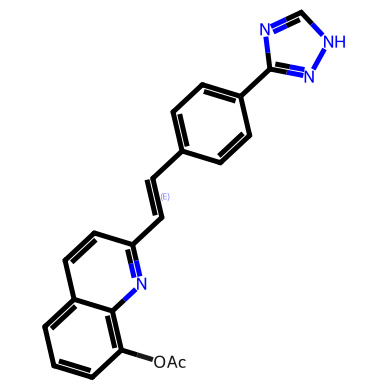 CC(=O)Oc1cccc2ccc(/C=C/c3ccc(-c4nc[nH]n4)cc3)nc12